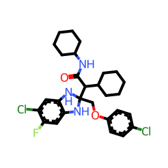 O=C(NC1CCCCC1)C(C1CCCCC1)C1(COc2ccc(Cl)cc2)Nc2cc(F)c(Cl)cc2N1